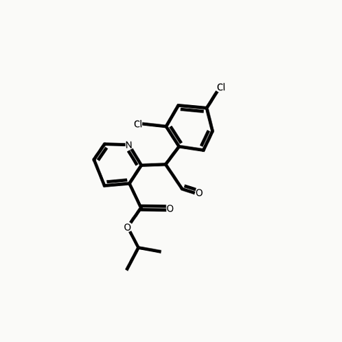 CC(C)OC(=O)c1cccnc1C(C=O)c1ccc(Cl)cc1Cl